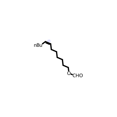 CCCC/C=C\CCCCCCOC=O